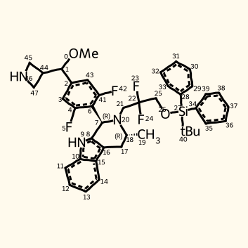 COC(c1cc(F)c([C@@H]2c3[nH]c4ccccc4c3C[C@@H](C)N2CC(F)(F)CO[Si](c2ccccc2)(c2ccccc2)C(C)(C)C)c(F)c1)C1CNC1